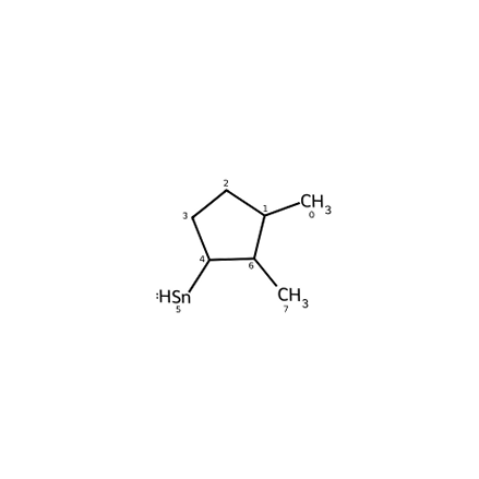 CC1CC[CH]([SnH])C1C